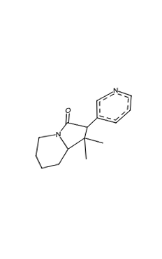 CC1(C)C(c2cccnc2)C(=O)N2CCCCC21